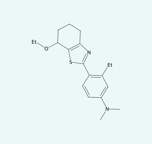 CCOC1CCCc2nc(-c3ccc(N(C)C)cc3CC)sc21